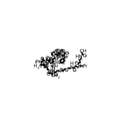 C#CC(=O)NCCCC(=O)N(CCC)CCC(=O)NCCOCCOCCC(=O)NC(C)C(=O)NCCCC(=O)N(C)[C@@H](C(=O)N[C@H](C(=O)N(C)[C@@H]([C@@H](C)CC)[C@@H](CC(=O)N1CCC[C@H]1[C@H](OC)[C@@H](C)C(=O)N[C@@H](Cc1ccccc1)C(=O)OC)OC)C(C)C)C(C)C